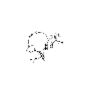 CC(C)N[C@]12CCN(CC=CCCC[C@@](C)(C(=O)C(C)C)NCC1=O)C2